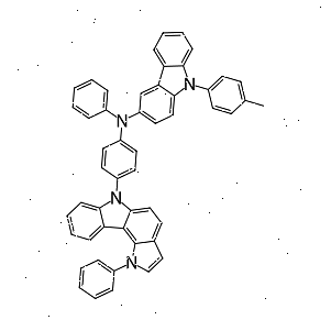 Cc1ccc(-n2c3ccccc3c3cc(N(c4ccccc4)c4ccc(-n5c6ccccc6c6c7c(ccc65)ccn7-c5ccccc5)cc4)ccc32)cc1